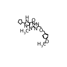 CCn1c2nc(C3CCCC3)[nH]c2c(=O)n2nc(COCc3ccc(OC)cc3)nc12